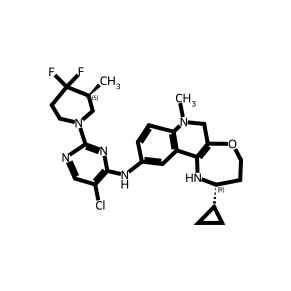 C[C@H]1CN(c2ncc(Cl)c(Nc3ccc4c(c3)C3=C(CN4C)OCC[C@H](C4CC4)N3)n2)CCC1(F)F